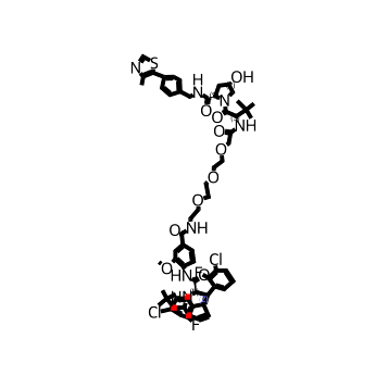 COc1cc(C(=O)NCCOCCOCCOCC(=O)N[C@H](C(=O)N2C[C@H](O)C[C@H]2C(=O)NCc2ccc(-c3scnc3C)cc2)C(C)(C)C)ccc1NC(=O)[C@@H]1NC(CC(C)(C)C)CC#C/C(c2ccc(Cl)cc2F)=C/1c1cccc(Cl)c1F